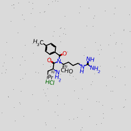 Cc1ccc(C(=O)N(C(=O)[C@@H](N)CC(C)C)[C@H](C=O)CCCNC(=N)N)cc1.Cl